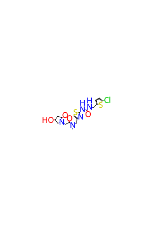 CN(Cc1csc(NC(=O)NCc2ccc(Cl)s2)n1)C(=O)CN1C[C@@H](O)CC1=O